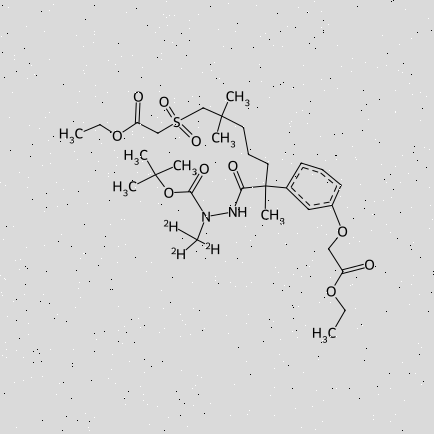 [2H]C([2H])([2H])N(NC(=O)C(C)(CCCC(C)(C)CS(=O)(=O)CC(=O)OCC)c1cccc(OCC(=O)OCC)c1)C(=O)OC(C)(C)C